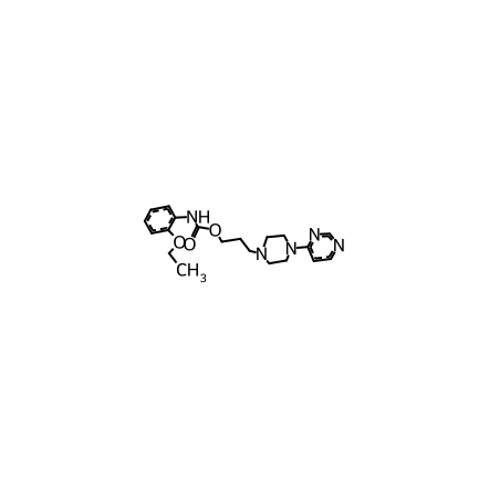 CCOc1ccccc1NC(=O)OCCCN1CCN(c2ccncn2)CC1